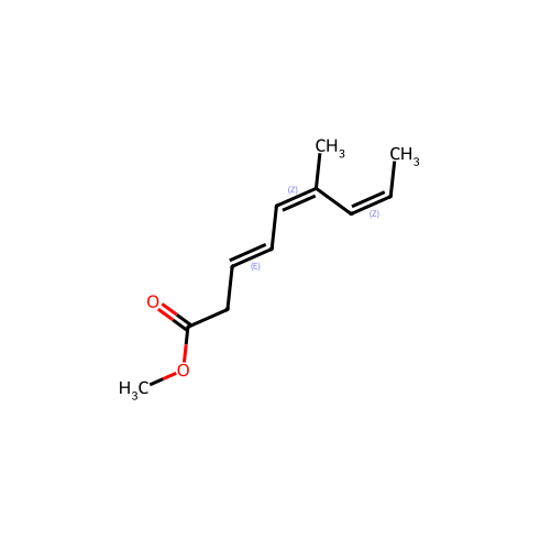 C\C=C/C(C)=C\C=C\CC(=O)OC